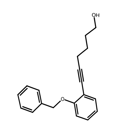 OCCCCC#Cc1ccccc1OCc1ccccc1